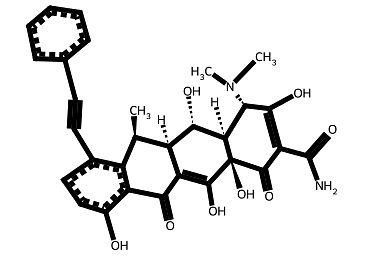 C[C@@H]1c2c(C#Cc3ccccc3)ccc(O)c2C(=O)C2=C(O)[C@@]3(O)C(=O)C(C(N)=O)=C(O)[C@@H](N(C)C)[C@@H]3[C@@H](O)[C@@H]21